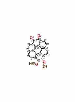 O=c1c2c3c4c(ccc5c4c4c(ccc6ccc(c1=O)c3c64)C(OS)C=5OS)=CC2